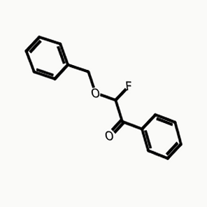 O=C(c1ccccc1)C(F)OCc1ccccc1